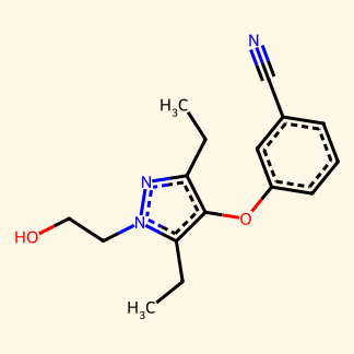 CCc1nn(CCO)c(CC)c1Oc1cccc(C#N)c1